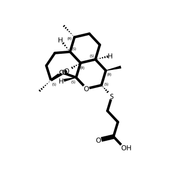 C[C@H]1[C@H](SCCC(=O)O)O[C@@H]2O[C@]3(C)CC[C@H]4[C@H](C)CC[C@@H]1[C@@]24OO3